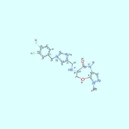 CC(C)n1ncc2c1OC[C@H](NCc1cn(Cc3ccc(F)c(F)c3)cn1)C(=O)N2C